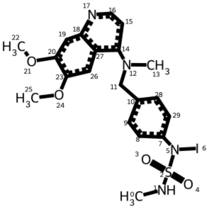 CNS(=O)(=O)N(I)c1ccc(CN(C)c2ccnc3cc(OC)c(OC)cc23)cc1